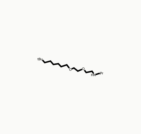 CC(C)NCCOCCOCCCCCCC(C)(C)C